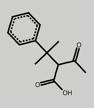 CC(=O)C(C(=O)O)C(C)(C)c1ccccc1